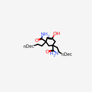 CCCCCCCCCCCCC1(C(N)=O)C=C(O)CC(CCCCCCCCCCCC)(C(N)=O)C1